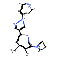 N#Cc1c(C(F)(F)F)cc(-c2cnn(C3CCNCC3)c2)nc1N1CCC1